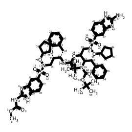 COC(=O)Nc1nc2cc(S(=O)(=O)N(C[C@H](O)[C@H](Cc3ccccc3)NC(=O)OC(CN(OC3CCCC3)S(=O)(=O)c3ccc4[nH]c(N)nc4c3)C(Cc3ccccc3)N(C(=O)OC(C)(C)C)C(C)(C)C)OC3CCCC3)ccc2[nH]1